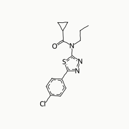 CCCN(C(=O)C1CC1)c1nnc(-c2ccc(Cl)cc2)s1